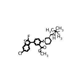 COC(=O)c1cc(-c2c(F)sc3cc(Cl)ccc23)ccc1N1CCC[C@H](CNC(C)(C)C)C1